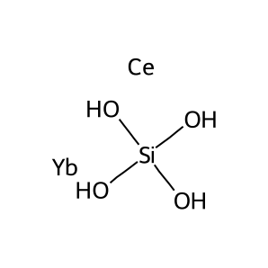 O[Si](O)(O)O.[Ce].[Yb]